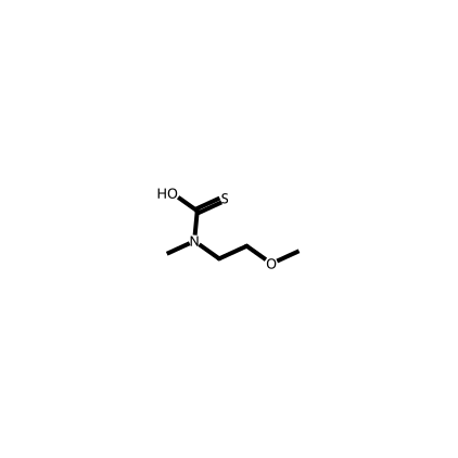 COCCN(C)C(O)=S